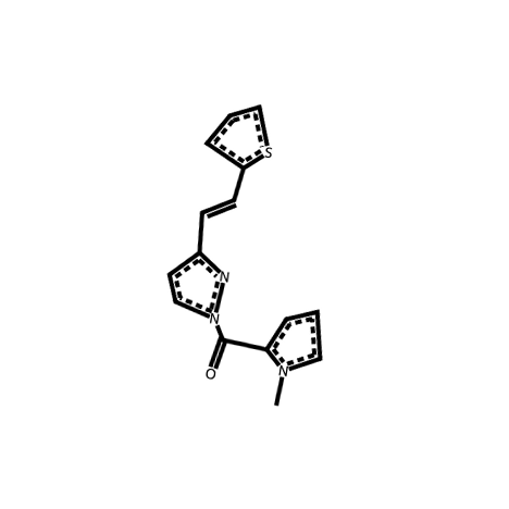 Cn1cccc1C(=O)n1ccc(C=Cc2cccs2)n1